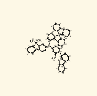 Cc1cc(N(c2ccc3c(c2)C(C)(C)c2ccccc2-3)c2cccc3c2-c2ccccc2C3(c2ccccc2)c2ccccc2)ccc1-c1cccc2c1oc1ccccc12